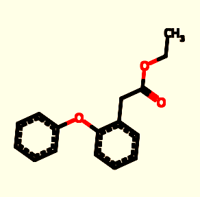 CCOC(=O)Cc1ccccc1Oc1ccccc1